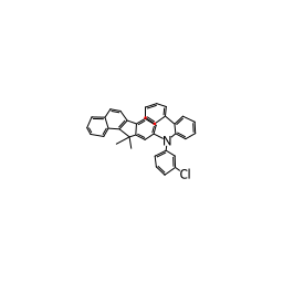 CC1(C)c2cc(N(c3cccc(Cl)c3)c3ccccc3-c3ccccc3)ccc2-c2ccc3ccccc3c21